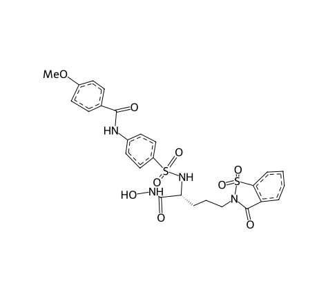 COc1ccc(C(=O)Nc2ccc(S(=O)(=O)N[C@H](CCCN3C(=O)c4ccccc4S3(=O)=O)C(=O)NO)cc2)cc1